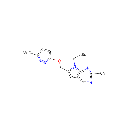 COc1ccc(OCc2cc3cnc(C#N)nc3n2CC(C)(C)C)nn1